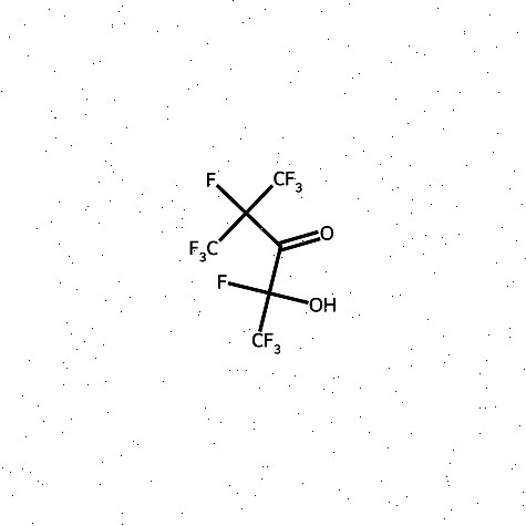 O=C(C(O)(F)C(F)(F)F)C(F)(C(F)(F)F)C(F)(F)F